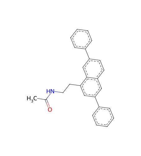 CC(=O)NCCc1cc(-c2ccccc2)cc2ccc(-c3ccccc3)cc12